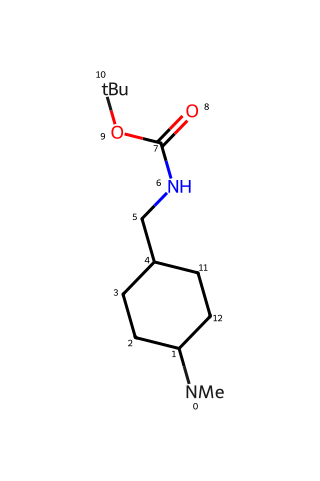 CNC1CCC(CNC(=O)OC(C)(C)C)CC1